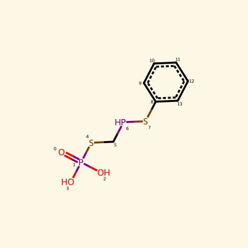 O=P(O)(O)SCPSc1ccccc1